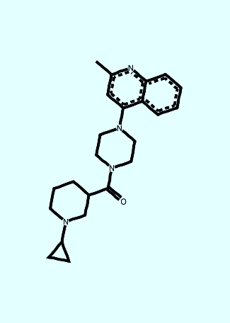 Cc1cc(N2CCN(C(=O)C3CCCN(C4CC4)C3)CC2)c2ccccc2n1